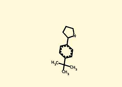 CC(C)(C)c1ccc(C2CCC[N]2)cc1